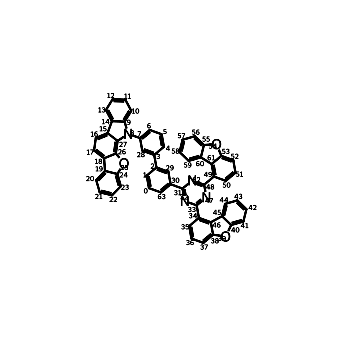 c1cc(-c2cccc(-n3c4ccccc4c4ccc5c6ccccc6oc5c43)c2)cc(-c2nc(-c3cccc4oc5ccccc5c34)nc(-c3cccc4oc5ccccc5c34)n2)c1